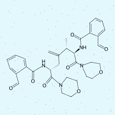 C=C(C[C@@H](NC(=O)c1ccccc1C=O)C(=O)N1CCOCC1)[C@H](C)[C@@H](NC(=O)c1ccccc1C=O)C(=O)N1CCOCC1